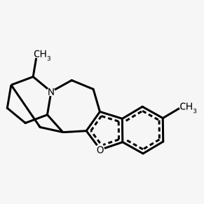 Cc1ccc2oc3c(c2c1)CCN1C(C)C2CCC1C3C2